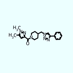 Cc1cc(C(=O)N2CCC(Cn3cc(-c4ccccc4)nn3)CC2)nn1C